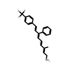 CC(/C=C/C=C(/C=C/c1ccc(C(F)(F)F)cc1)c1ccccc1)=C\CN